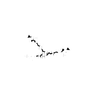 O=C(O)CNC(=O)CN(CCCNC(=O)CCSCC(=O)NC1CC1)CCCNC(=O)CCSCC(=O)NC1CC1